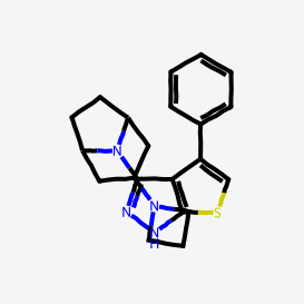 c1ccc(-c2csc3[nH]nc(N4C5CCC4CC(N4CCC4)C5)c23)cc1